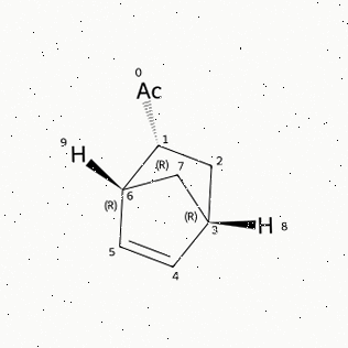 CC(=O)[C@@H]1C[C@@H]2C=C[C@H]1C2